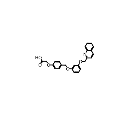 O=C(O)COc1ccc(COc2cccc(OCc3ccc4ccccc4n3)c2)cc1